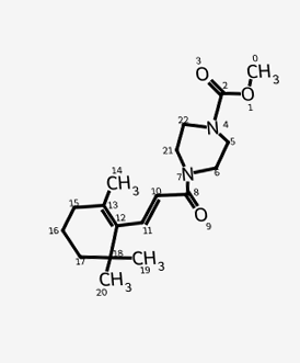 COC(=O)N1CCN(C(=O)/C=C/C2=C(C)CCCC2(C)C)CC1